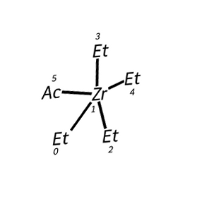 C[CH2][Zr]([CH2]C)([CH2]C)([CH2]C)[C](C)=O